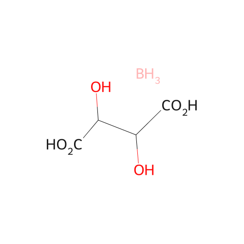 B.O=C(O)C(O)C(O)C(=O)O